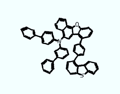 c1ccc(-c2ccc(N(c3cccc(-c4ccccc4)c3)c3cc4c(oc5cccc(-c6ccc(-c7cccc8sc9ccccc9c78)cc6)c54)c4ccccc34)cc2)cc1